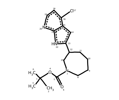 CC(C)(C)OC(=O)N1CCCCC(c2cc3c(Cl)ccnc3[nH]2)C1